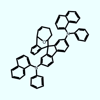 C1=CC2OC(CC1)C1(c3cc(N(c4ccccc4)c4cccc5ccccc45)ccc3-c3ccc(N(c4ccccc4)c4cccc5ccccc45)cc31)c1ccccc12